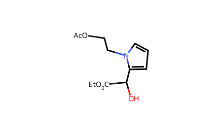 CCOC(=O)C(O)c1cccn1CCOC(C)=O